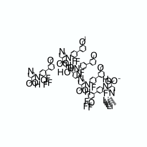 CCOc1cccc(-c2ccc(Nc3cnccc3C(=O)[O-])c(F)c2)c1.COc1cccc(-c2cc(F)c(Nc3ncccc3C(=O)O)c(F)c2)c1.COc1cccc(-c2ccc(Nc3cnccc3C(=O)[O-])c(F)c2)c1.COc1cccc(-c2ccc(Nc3cnccc3C(=O)[O-])c(OC(F)(F)F)c2)c1.O=C([O-])c1ccncc1Nc1ccc(-c2cccc(OC(F)(F)F)c2)cc1F.[Li+].[Li+].[Li+].[Li+]